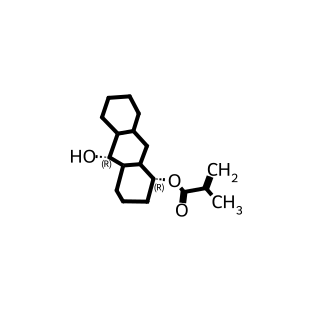 C=C(C)C(=O)O[C@@H]1CCCC2C1CC1CCCCC1[C@H]2O